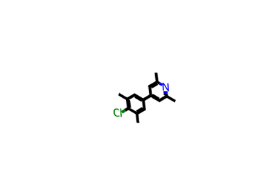 Cc1cc(-c2cc(C)c(Cl)c(C)c2)cc(C)n1